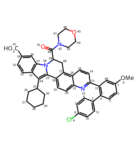 COc1ccc(-c2ccc(Cl)cc2)c(-c2ccc3c4c(ccc3n2)-c2c(C3CCCCC3)c3ccc(C(=O)O)cc3n2C(C(=O)N2CCOCC2)C4)c1